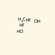 C.Cl.Cl.F.F